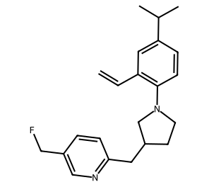 C=Cc1cc(C(C)C)ccc1N1CCC(Cc2ccc(CF)cn2)C1